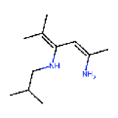 CC(C)=C(/C=C(/C)N)NCC(C)C